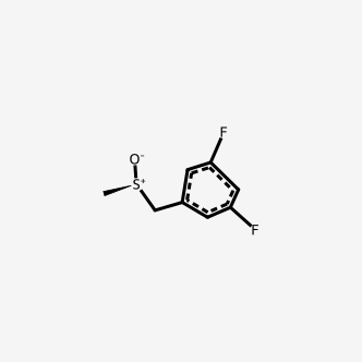 C[S@@+]([O-])Cc1cc(F)cc(F)c1